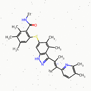 [2H]/C(=C(/C)c1n[nH]c2cc(Sc3cc(C)c(C)c(C)c3C(=O)NCC)c(C)c(C)c12)c1ccc(C)c(C)n1